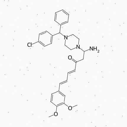 COc1ccc(C=CC=CC(=O)CC(N)N2CCN(C(c3ccccc3)c3ccc(Cl)cc3)CC2)cc1OC